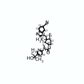 CC(C)(O)c1cnc(N2C[C@]3(CC[C@H](F)[C@@](C)(Cn4cnc5ccc(C#N)cc54)C3)OC2=O)cn1